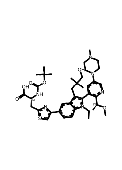 CCn1c(-c2cc(N3CCN(C)CC3)cnc2[C@H](C)OC)c(CC(C)(C)CO)c2cc(-c3csc(C[C@H](NC(=O)OC(C)(C)C)C(=O)O)n3)ccc21